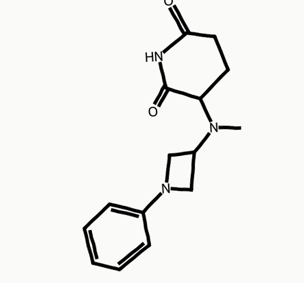 CN(C1CN(c2ccccc2)C1)C1CCC(=O)NC1=O